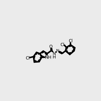 O=C(NN=Cc1cccc(Cl)c1Cl)c1cc2cc(Cl)ccc2[nH]1